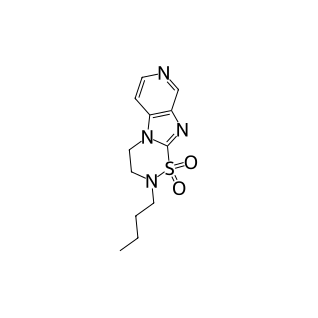 CCCCN1CCn2c(nc3cnccc32)S1(=O)=O